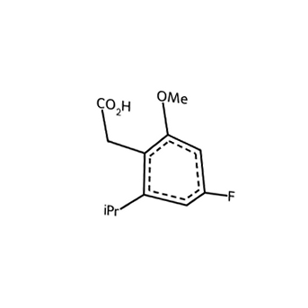 COc1cc(F)cc(C(C)C)c1CC(=O)O